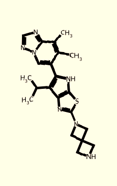 Cc1c(-c2[nH]c3sc(N4CC5(CNC5)C4)nc3c2C(C)C)cn2ncnc2c1C